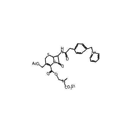 CCOC(=O)N(C)COC(=O)C1=C(COC(C)=O)CSC2C(NC(=O)Cc3ccc(C[n+]4ccccc4)cc3)C(=O)N12